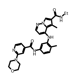 CCNC(=O)c1cn2nccc(Nc3cc(NC(=O)c4ccnc(N5CCOCC5)c4)ccc3C)c2c1C